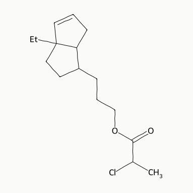 CCC12C=CCC1C(CCCOC(=O)C(C)Cl)CC2